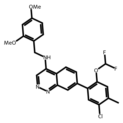 COc1ccc(CNc2cnnc3cc(-c4cc(Cl)c(C)cc4OC(F)F)ccc23)c(OC)c1